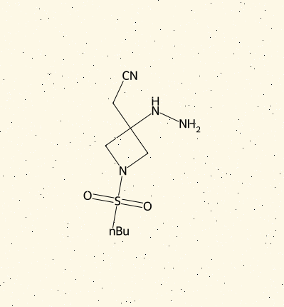 CCCCS(=O)(=O)N1CC(CC#N)(NN)C1